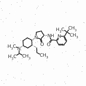 CCC[C@@H]1C[C@H](N(C)C(C)C)CC[C@@H]1N1CC[C@H](NC(=O)c2cccc(C(C)(C)C)n2)C1=O